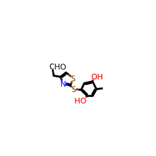 Cc1cc(O)c(Sc2nc(CC=O)cs2)cc1O